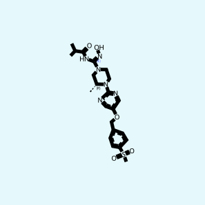 CC(C)C(=O)N/C(=N\O)N1CCN(c2ncc(OCc3ccc(S(C)(=O)=O)cc3)cn2)[C@H](C)C1